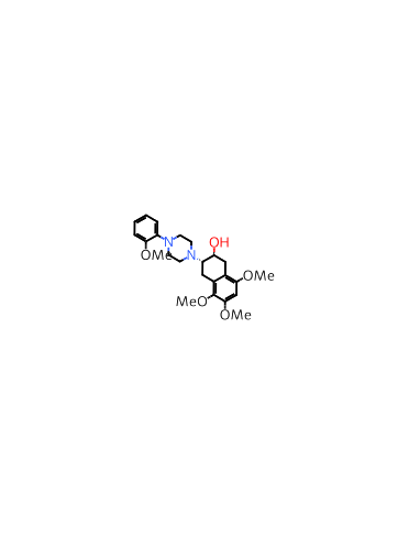 COc1ccccc1N1CCN([C@H]2Cc3c(c(OC)cc(OC)c3OC)C[C@@H]2O)CC1